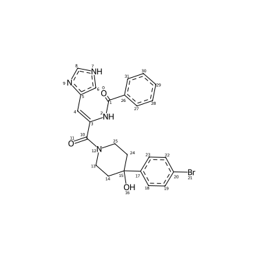 O=C(N/C(=C\c1c[nH]cn1)C(=O)N1CCC(O)(c2ccc(Br)cc2)CC1)c1ccccc1